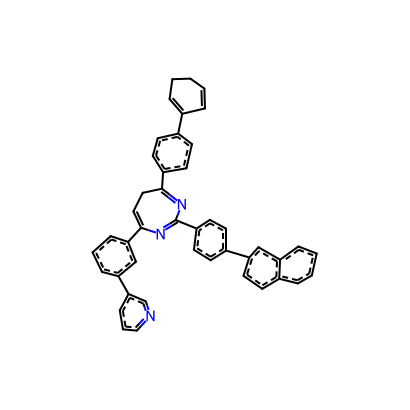 C1=CC(c2ccc(C3=NC(c4ccc(-c5ccc6ccccc6c5)cc4)=NC(c4cccc(-c5cccnc5)c4)=CC3)cc2)=CCC1